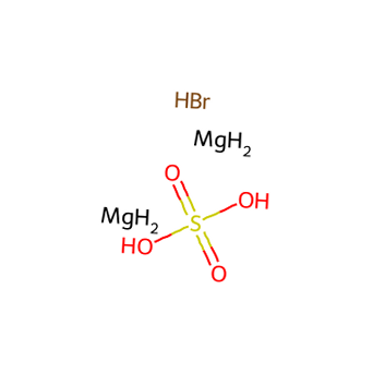 Br.O=S(=O)(O)O.[MgH2].[MgH2]